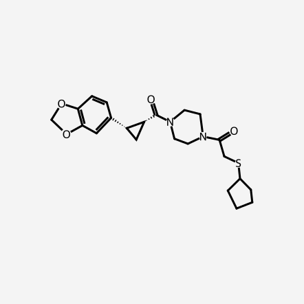 O=C(CSC1CCCC1)N1CCN(C(=O)[C@@H]2C[C@@H]2c2ccc3c(c2)OCO3)CC1